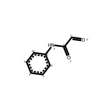 O=CC(=O)Nc1ccccc1